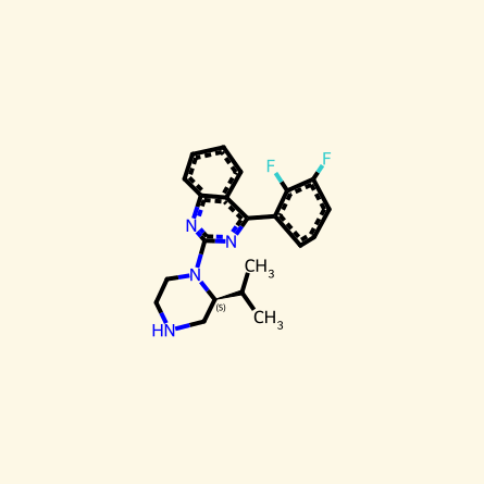 CC(C)[C@H]1CNCCN1c1nc(-c2cccc(F)c2F)c2ccccc2n1